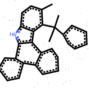 Cc1ccc2[nH]c3c4ccccc4c4ccccc4c3c2c1C(C)(C)c1ccccc1